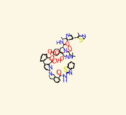 Cc1ncsc1-c1ccc([C@H](C)NC(=O)[C@@H]2C[C@@H](O)CN2C(=O)C(NC(=O)CC2CCC(Oc3cccc(-c4ccc(N5CCc6cccc(C(=O)Nc7nc8ccccc8s7)c6C5)nc4C(=O)O)c3C)CC2)C(C)(C)C)nc1